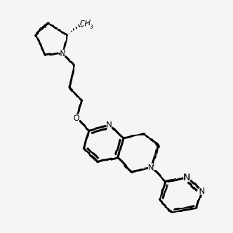 C[C@H]1CCCN1CCCOc1ccc2c(n1)CCN(c1cccnn1)C2